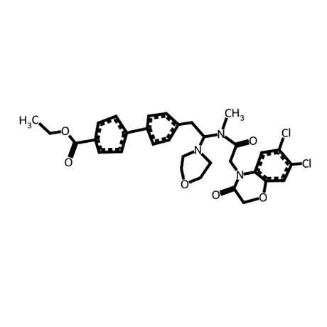 CCOC(=O)c1ccc(-c2ccc(CC(N3CCOCC3)N(C)C(=O)CN3C(=O)COc4cc(Cl)c(Cl)cc43)cc2)cc1